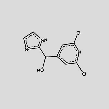 OC(c1cc(Cl)nc(Cl)c1)c1ncc[nH]1